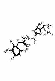 CC(C)c1cc(F)c(F)c(C(C)C)c1CC(=O)N[S+]([O-])c1ncc(C(C)(C)O)s1